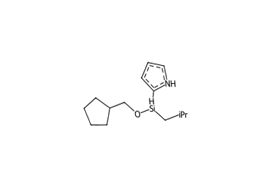 CC(C)C[SiH](OCC1CCCC1)c1ccc[nH]1